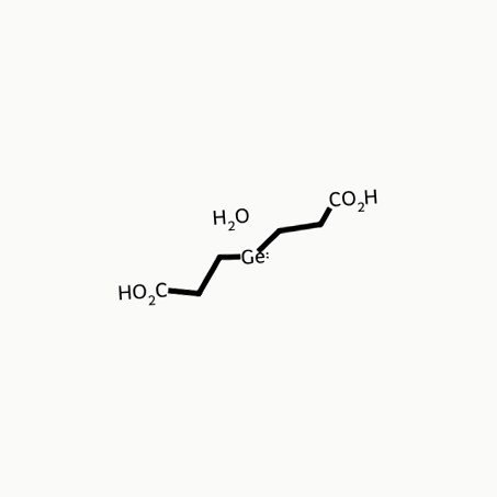 O.O=C(O)C[CH2][Ge][CH2]CC(=O)O